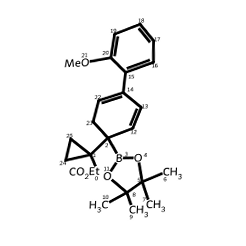 CCOC(=O)C1(C2(B3OC(C)(C)C(C)(C)O3)C=CC(c3ccccc3OC)=CC2)CC1